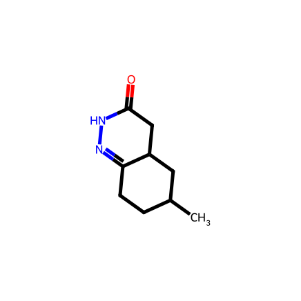 CC1CCC2=NNC(=O)CC2C1